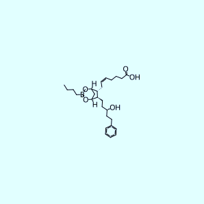 CCCCB1O[C@H]2C[C@@H](O1)[C@H](CC[C@@H](O)CCc1ccccc1)[C@H]2C/C=C\CCCC(=O)O